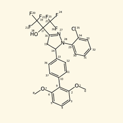 COc1cccc(OC)c1-c1ccc(C2CC(C(O)(C(F)(F)F)C(F)(F)F)=NN2c2ccccc2Cl)cc1